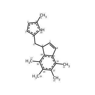 Cc1ccc(CC2C=Cc3c(C)c(C)c(C)c(C)c32)[nH]1